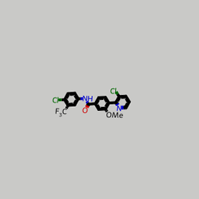 COc1cc(C(=O)Nc2ccc(Cl)c(C(F)(F)F)c2)ccc1-c1ncccc1Cl